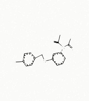 CC(=O)N(C(C)=O)c1cccc(NCc2ccc(F)cc2)c1